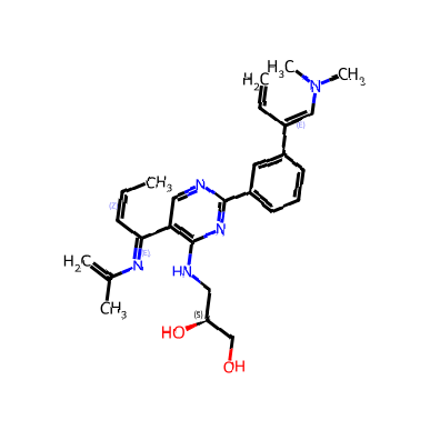 C=C/C(=C\N(C)C)c1cccc(-c2ncc(C(/C=C\C)=N/C(=C)C)c(NC[C@H](O)CO)n2)c1